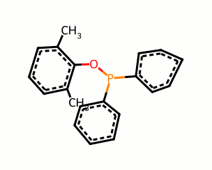 Cc1cccc(C)c1OP(c1ccccc1)c1ccccc1